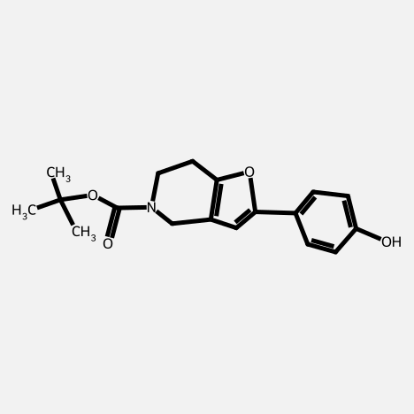 CC(C)(C)OC(=O)N1CCc2oc(-c3ccc(O)cc3)cc2C1